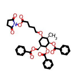 C[C@@H]1[C@@H](OC(=O)c2ccccc2)[C@@H](OC(=O)c2ccccc2)[C@@H](COC(=O)c2ccccc2)C[C@H]1OCCCCC(=O)ON1C(=O)CCC1=O